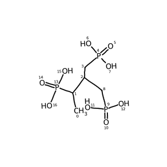 CC(C(CP(=O)(O)O)CP(=O)(O)O)P(=O)(O)O